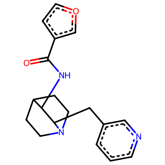 O=C(NC1C2CCN(CC2)C1Cc1cccnc1)c1ccoc1